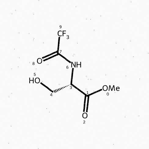 COC(=O)[C@H](CO)NC(=O)C(F)(F)F